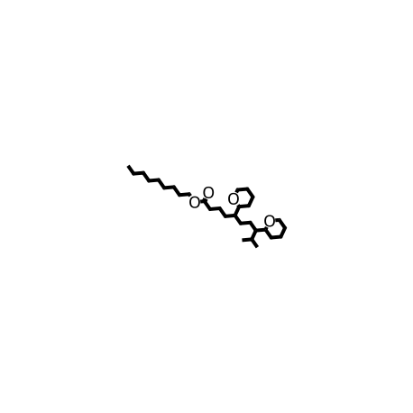 CCCCCCCCCOC(=O)CCCC(CCC(C(C)C)C1CCCCO1)C1CCCCO1